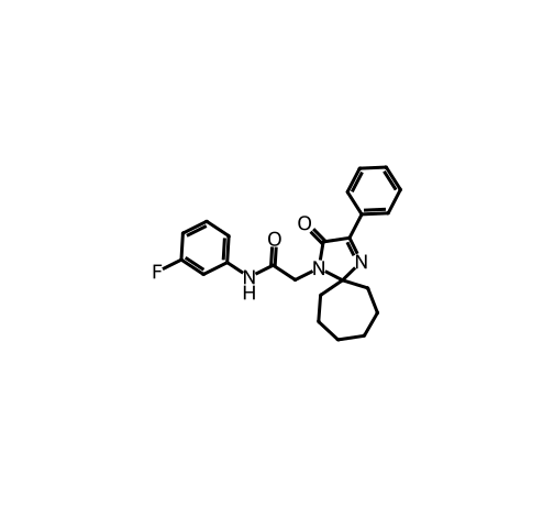 O=C(CN1C(=O)C(c2ccccc2)=NC12CCCCCC2)Nc1cccc(F)c1